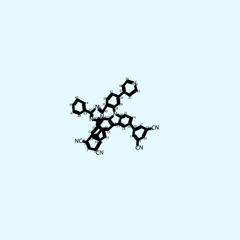 N#Cc1cc(C#N)cc(-c2ccc3c(c2)c2cc(-c4cc(C#N)cc(C#N)c4)ccc2n3-c2cc(-c3ccncc3)ccc2-c2nc(-c3ccccc3)nc(-c3ccccc3)n2)c1